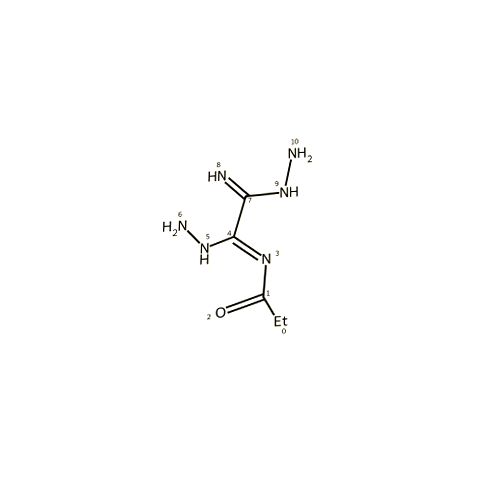 CCC(=O)N=C(NN)C(=N)NN